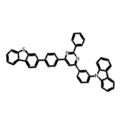 c1ccc(-c2nc(-c3ccc(-c4ccc5c(c4)sc4ccccc45)cc3)cc(-c3cccc(-n4c5ccccc5c5ccccc54)c3)n2)cc1